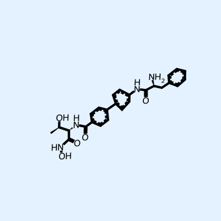 C[C@@H](O)[C@H](NC(=O)c1ccc(-c2ccc(NC(=O)[C@@H](N)Cc3ccccc3)cc2)cc1)C(=O)NO